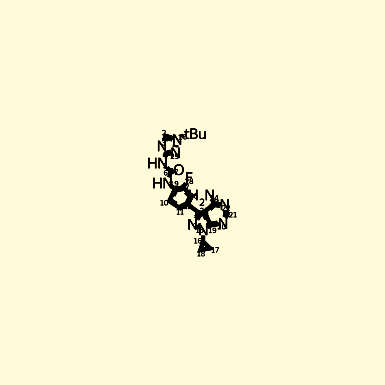 CC(C)(C)n1cnc(NC(=O)Nc2ccc(-c3nn(C4CC4)c4ncnc(N)c34)cc2F)n1